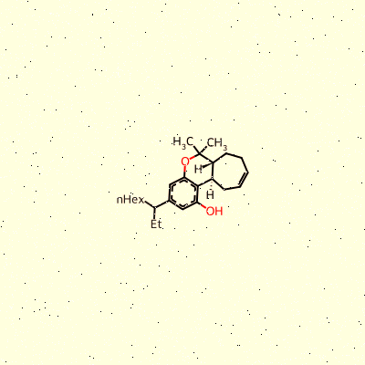 CCCCCCC(CC)c1cc(O)c2c(c1)OC(C)(C)[C@@H]1CCC=CC[C@@H]21